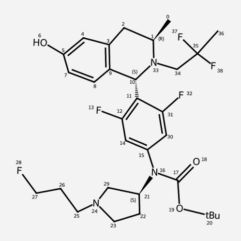 C[C@@H]1Cc2cc(O)ccc2[C@@H](c2c(F)cc(N(C(=O)OC(C)(C)C)[C@H]3CCN(CCCF)C3)cc2F)N1CC(C)(F)F